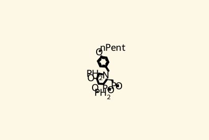 CCCCCOc1ccc(CN2C[C@H](OP)[C@@H](OP)[C@@H](P=O)[C@@H]2CP=O)cc1